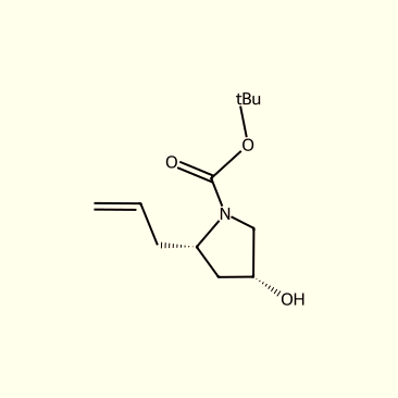 C=CC[C@H]1C[C@@H](O)CN1C(=O)OC(C)(C)C